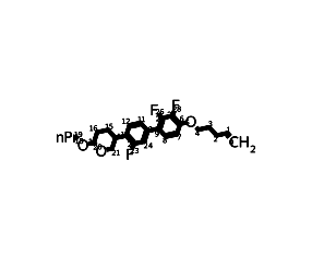 C=CCCCOc1ccc(-c2ccc(C3CCC(OCCC)OC3)c(F)c2)c(F)c1F